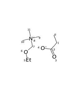 CCC(=O)[O-].CCOC[N+](C)(C)C